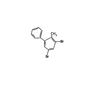 Cc1c(Br)cc(Br)cc1-c1ccccc1